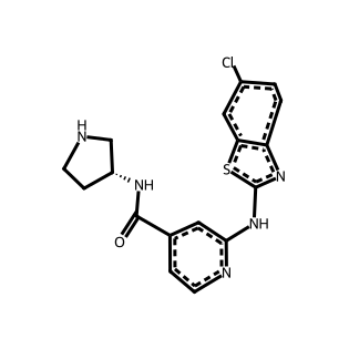 O=C(N[C@@H]1CCNC1)c1ccnc(Nc2nc3ccc(Cl)cc3s2)c1